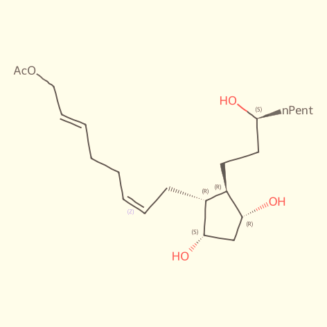 CCCCC[C@H](O)CC[C@@H]1[C@@H](C/C=C\CCC=CCOC(C)=O)[C@@H](O)C[C@H]1O